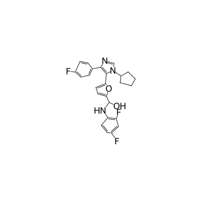 OC(Nc1ccc(F)cc1F)c1ccc(-c2c(-c3ccc(F)cc3)ncn2C2CCCC2)o1